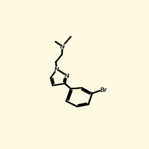 CN(C)CCn1ccc(-c2cccc(Br)c2)n1